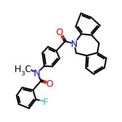 CN(C(=O)c1ccccc1F)c1ccc(C(=O)N2Cc3ccccc3Cc3ccccc32)cc1